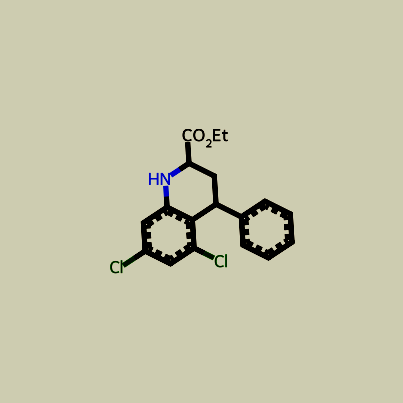 CCOC(=O)C1CC(c2ccccc2)c2c(Cl)cc(Cl)cc2N1